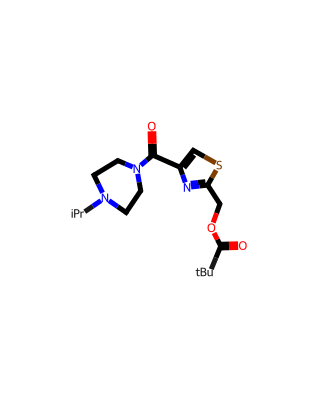 CC(C)N1CCN(C(=O)c2csc(COC(=O)C(C)(C)C)n2)CC1